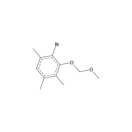 COCOc1c(C)c(C)cc(C)c1Br